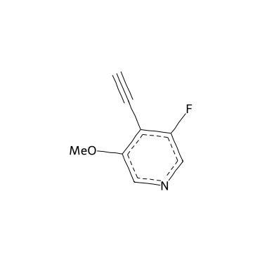 C#Cc1c(F)cncc1OC